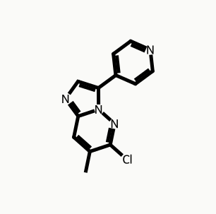 Cc1cc2ncc(-c3ccncc3)n2nc1Cl